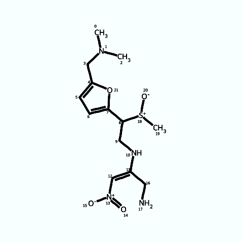 CN(C)Cc1ccc(C(CNC(=C[N+](=O)[O-])CN)[S+](C)[O-])o1